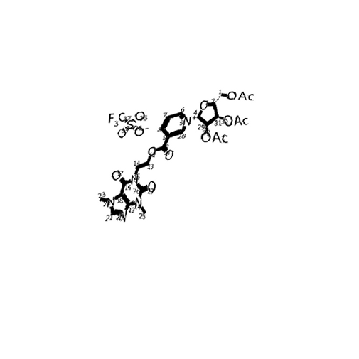 CC(=O)OC[C@H]1O[C@@H]([n+]2cccc(C(=O)OCCn3c(=O)c4c(ncn4C)n(C)c3=O)c2)[C@H](OC(C)=O)[C@@H]1OC(C)=O.O=S(=O)([O-])C(F)(F)F